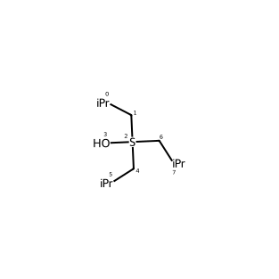 CC(C)CS(O)(CC(C)C)CC(C)C